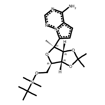 CC1(C)O[C@H]2[C@@H](O1)[C@](C)(c1ccc3c(N)ncnn13)O[C@@H]2CO[Si](C)(C)C(C)(C)C